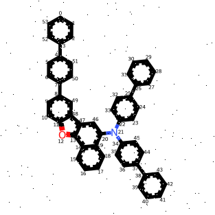 c1ccc(-c2ccc(-c3ccc4oc5c6ccccc6c(N(c6ccc(-c7ccccc7)cc6)c6ccc(-c7ccccc7)cc6)cc5c4c3)cc2)cc1